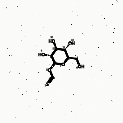 OC[C@H]1OC(OC=S)[C@H](O)[C@@H](O)[C@@H]1O